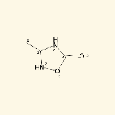 CC1NOC(=O)N1